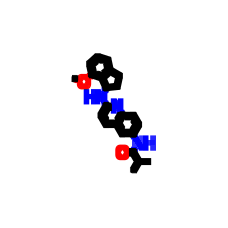 COc1cccc2c1C(Nc1ccc3cc(NC(=O)C(C)C)ccc3n1)CC2